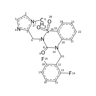 Cn1ccnc1CN1C(=O)N(Cc2c(F)cccc2F)c2ccccc2S1(=O)=O